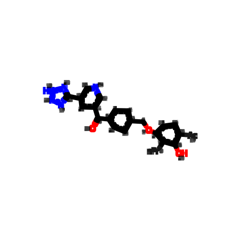 CCCc1c(OCc2ccc(C(=O)c3cncc(-c4nn[nH]n4)c3)cc2)ccc(C(C)=O)c1O